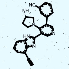 C#Cc1cccc2[nH]c(-c3cncc(-c4cccc(C#N)c4)c3N3CC[C@H](N)C3)nc12